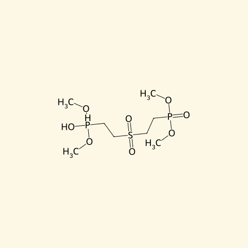 COP(=O)(CCS(=O)(=O)CC[PH](O)(OC)OC)OC